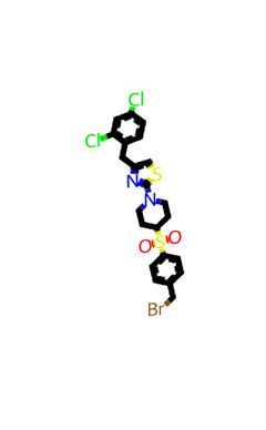 O=S(=O)(c1ccc(CBr)cc1)C1CCN(c2nc(Cc3ccc(Cl)cc3Cl)cs2)CC1